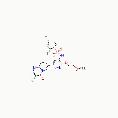 COCCOc1ncc(-c2ccc3ncc(Cl)c(=O)n3c2)cc1NS(=O)(=O)c1ccc(F)cc1F